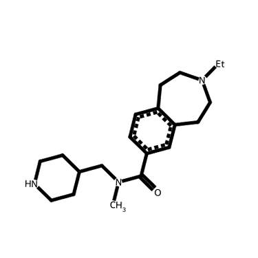 CCN1CCc2ccc(C(=O)N(C)CC3CCNCC3)cc2CC1